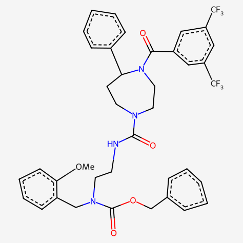 COc1ccccc1CN(CCNC(=O)N1CCC(c2ccccc2)N(C(=O)c2cc(C(F)(F)F)cc(C(F)(F)F)c2)CC1)C(=O)OCc1ccccc1